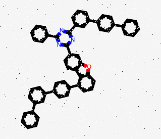 c1ccc(-c2ccc(-c3cccc(-c4nc(-c5ccccc5)nc(-c5ccc6c(c5)oc5cccc(-c7ccc(-c8cccc(-c9ccccc9)c8)cc7)c56)n4)c3)cc2)cc1